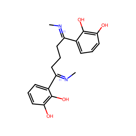 C/N=C(\CCC/C(=N\C)c1cccc(O)c1O)c1cccc(O)c1O